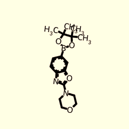 CC1(C)OB(c2ccc3nc(N4CCOCC4)oc3c2)OC1(C)C